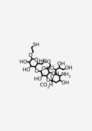 NC1C(O)CC(OC2C(O)C(CO)OC(OC3C(CO)OC(OCCS)C(O)C3O)C2O)(C(=O)O)OC1C(O)C(O)CO